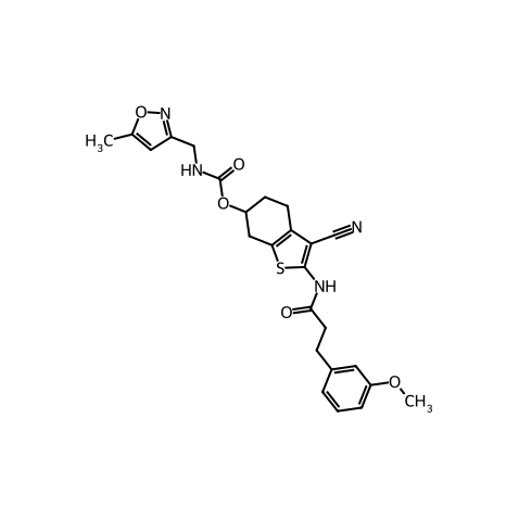 COc1cccc(CCC(=O)Nc2sc3c(c2C#N)CCC(OC(=O)NCc2cc(C)on2)C3)c1